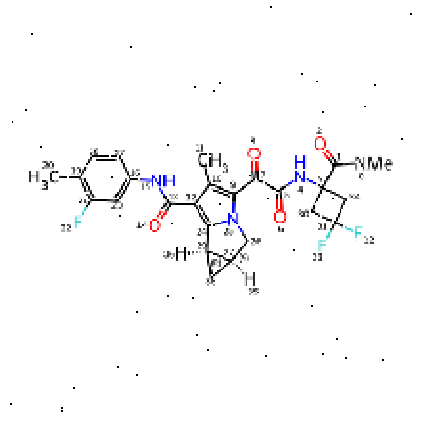 CNC(=O)C1(NC(=O)C(=O)c2c(C)c(C(=O)Nc3ccc(C)c(F)c3)c3n2C[C@H]2C[C@@H]32)CC(F)(F)C1